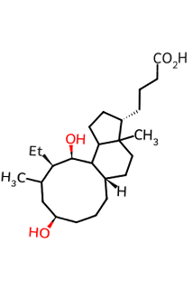 CC[C@@H]1C(C)C[C@H](O)CCC[C@H]2CCC3(C)C(CC[C@@H]3CCCC(=O)O)C2[C@@H]1O